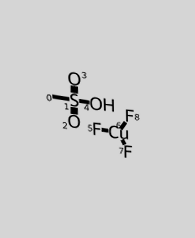 CS(=O)(=O)O.[F][Cu]([F])[F]